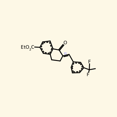 CCOC(=O)c1ccc2c(c1)CC/C(=C\c1cccc(C(C)(F)F)c1)C2=O